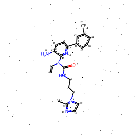 C=CN(C(=O)NCCCn1ccnc1C)c1nc(-c2cccc(C(F)(F)F)c2)ccc1N